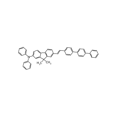 CC1(C)c2cc(/C=C/c3ccc(-c4ccc(-c5ccccc5)cc4)cc3)ccc2-c2ccc(N(c3ccccc3)c3ccccc3)cc21